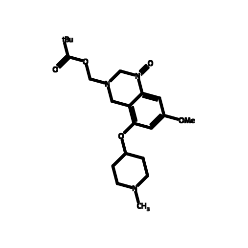 COc1cc(OC2CCN(C)CC2)c2c(c1)[N+](=O)CN(COC(=O)C(C)(C)C)C2